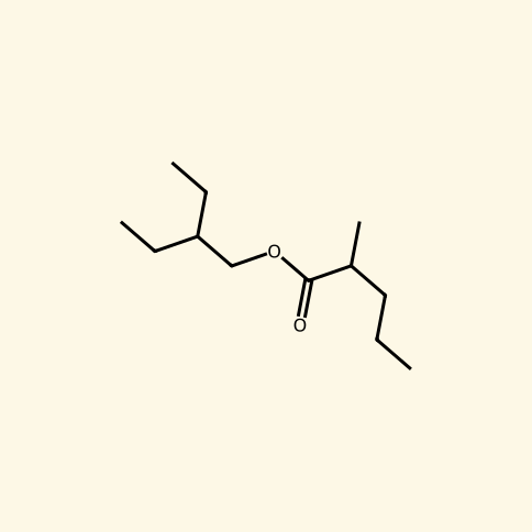 CCCC(C)C(=O)OCC(CC)CC